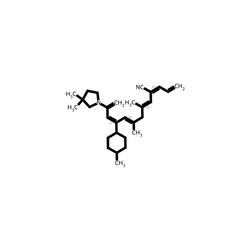 C=C/C=C(C#N)\C=C(/C)C/C(C)=C/C(=C\C(=C)N1CCC(C)(C)C1)C1CCC(C)CC1